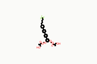 C=C(CO)C(=O)OCOc1cc(OCOC(=O)C(=C)CO)cc(-c2ccc(-c3ccc(C4=CCC(CCCCC(F)(F)F)CC4)cc3)cc2)c1